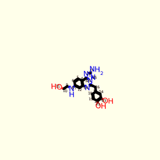 Nc1nc2c3ccc(NCCO)cc3nc(Cc3ccc(O)c(O)c3)n2n1